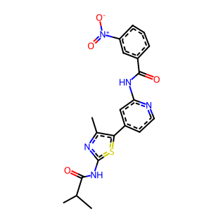 Cc1nc(NC(=O)C(C)C)sc1-c1ccnc(NC(=O)c2cccc([N+](=O)[O-])c2)c1